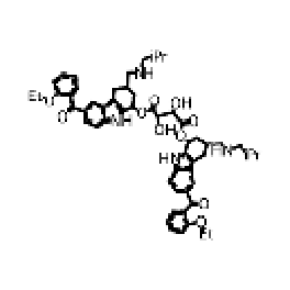 CCOc1ccccc1C(=O)c1ccc2[nH]c3c(c2c1)CC(CNCC(C)C)CC3OC(=O)C(O)C(O)C(=O)OC1CC(CNCC(C)C)Cc2c1[nH]c1ccc(C(=O)c3ccccc3OCC)cc21